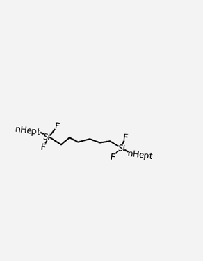 CCCCCCC[Si](F)(F)CCCCCC[Si](F)(F)CCCCCCC